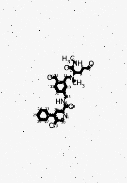 CNC(=O)C(CCC=O)N(C)Cc1cc(CNC(=O)c2cc(-c3ccccc3)c(Cl)cn2)ccc1C=O